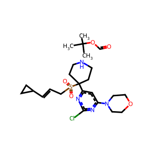 CC(C)(C)OC=O.O=S(=O)(CC=CC1CC1)C1(c2cc(N3CCOCC3)nc(Cl)n2)CCNCC1